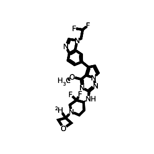 [2H]C1(N2CC[C@@H](Nc3nc(OC)c4c(-c5ccc6ncn(CC(F)F)c6c5)ccn4n3)C(F)(F)C2)COC1